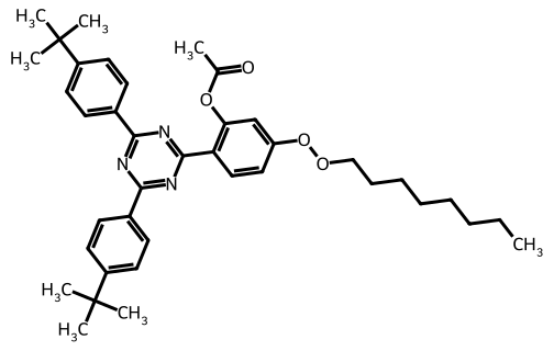 CCCCCCCCOOc1ccc(-c2nc(-c3ccc(C(C)(C)C)cc3)nc(-c3ccc(C(C)(C)C)cc3)n2)c(OC(C)=O)c1